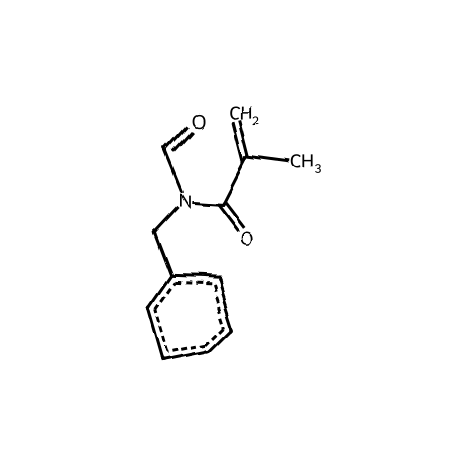 C=C(C)C(=O)N(C=O)Cc1ccccc1